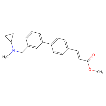 COC(=O)/C=C/c1ccc(-c2cccc(CN(C)C3CC3)c2)cc1